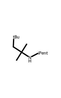 CCCC(C)NC(C)(C)CC(C)(C)C